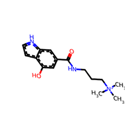 C[N+](C)(C)CCCNC(=O)c1cc(O)c2cc[nH]c2c1